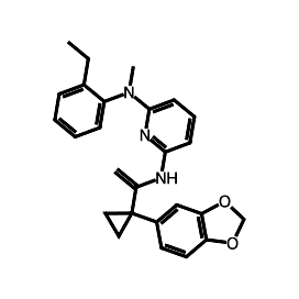 C=C(Nc1cccc(N(C)c2ccccc2CC)n1)C1(c2ccc3c(c2)OCO3)CC1